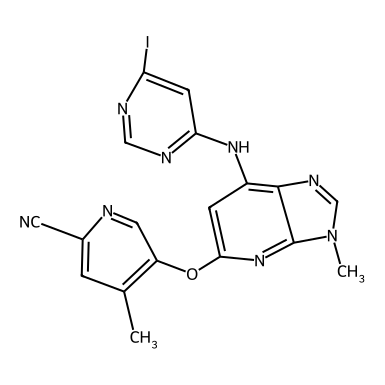 Cc1cc(C#N)ncc1Oc1cc(Nc2cc(I)ncn2)c2ncn(C)c2n1